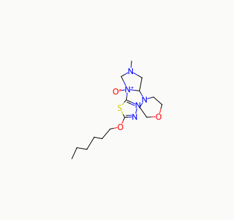 CCCCCCOc1nnc([N+]2([O-])CN(C)CC2N2CCOCC2)s1